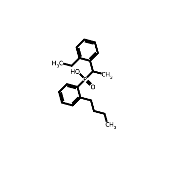 CCCCc1ccccc1P(=O)(O)C(C)c1ccccc1CC